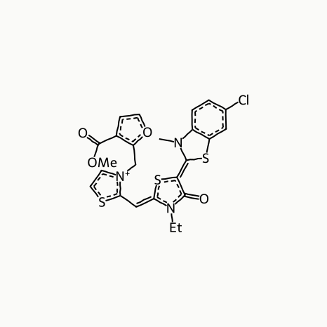 CCn1c(=O)/c(=C2\Sc3cc(Cl)ccc3N2C)s/c1=C\c1scc[n+]1Cc1occc1C(=O)OC